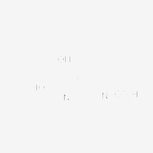 O=C(O)N1CCc2nc(C(O)C(O)c3ccccc3)oc2C1